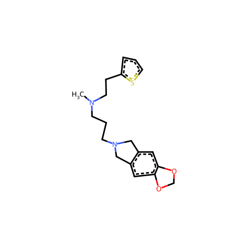 CN(CCCN1Cc2cc3c(cc2C1)OCO3)CCc1cccs1